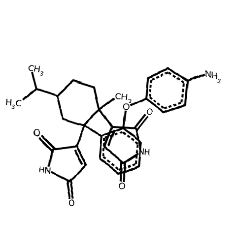 CC(C)C1CCC(C)(C2=CC(=O)NC2=O)C(C2=CC(=O)NC2=O)(c2ccccc2Oc2ccc(N)cc2)C1